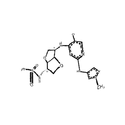 CC(C)S(=O)(=O)N[C@H]1COC2C1OC[C@H]2Nc1nc(Nc2cnn(C)c2)ncc1Cl